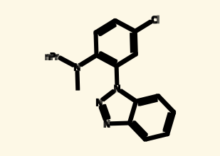 CCCN(C)c1ccc(Cl)cc1-n1nnc2ccccc21